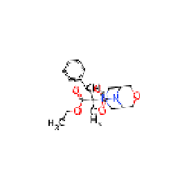 CCOC(=O)C(C)(C)N1CC2COCC(C1)N2C(=O)OCc1ccccc1